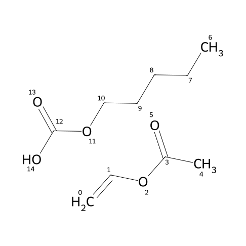 C=COC(C)=O.CCCCCOC(=O)O